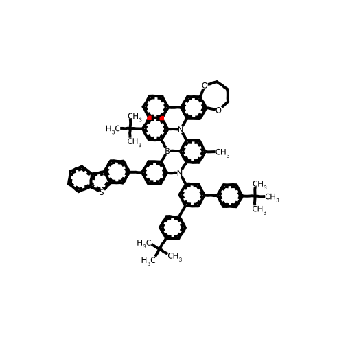 Cc1cc2c3c(c1)N(c1cc4c(cc1-c1ccccc1)OCCCO4)c1ccc(C(C)(C)C)cc1B3c1cc(-c3ccc4c(c3)sc3ccccc34)ccc1N2c1cc(-c2ccc(C(C)(C)C)cc2)cc(-c2ccc(C(C)(C)C)cc2)c1